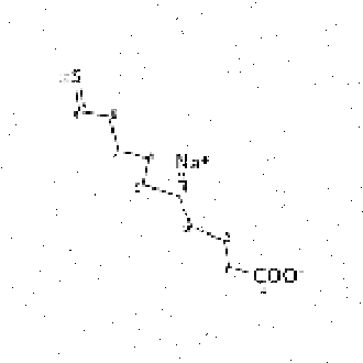 O=C([O-])CCCCCCCCC=S.[Na+]